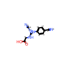 N#Cc1ccc(N2C(NCC(=O)O)N2C#N)cc1